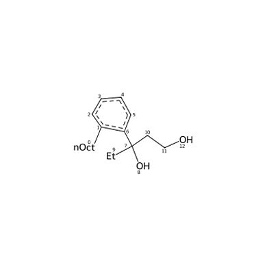 CCCCCCCCc1ccccc1C(O)(CC)CCO